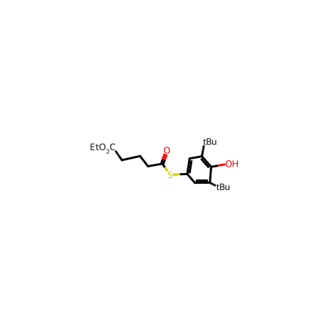 CCOC(=O)CCCC(=O)Sc1cc(C(C)(C)C)c(O)c(C(C)(C)C)c1